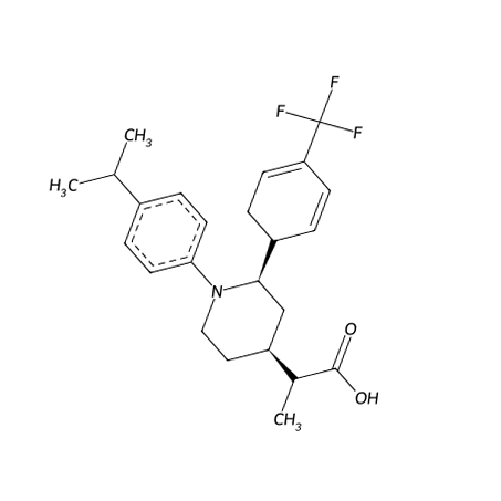 CC(C)c1ccc(N2CC[C@H](C(C)C(=O)O)C[C@@H]2C2C=CC(C(F)(F)F)=CC2)cc1